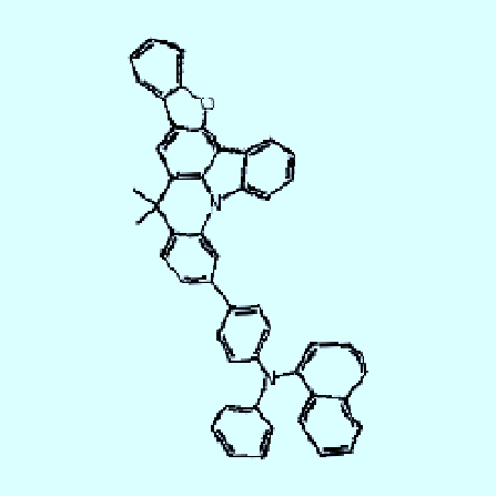 CC1(C)c2ccc(-c3ccc(N(c4ccccc4)c4cccc5ccccc45)cc3)cc2-n2c3ccccc3c3c4oc5ccccc5c4cc1c32